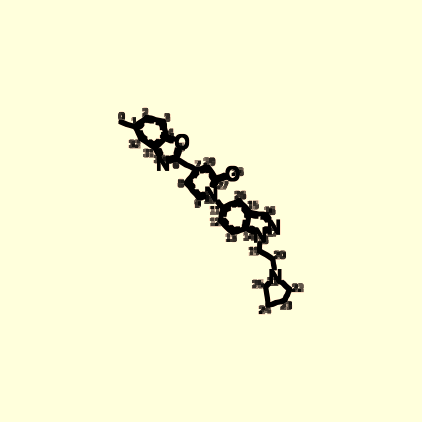 Cc1ccc2oc(-c3ccn(-c4ccc5c(cnn5CCN5CCCC5)c4)c(=O)c3)nc2c1